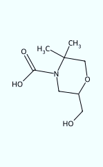 CC1(C)COC(CO)CN1C(=O)O